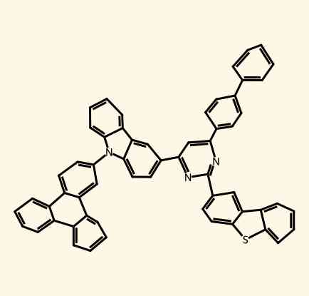 c1ccc(-c2ccc(-c3cc(-c4ccc5c(c4)c4ccccc4n5-c4ccc5c6ccccc6c6ccccc6c5c4)nc(-c4ccc5sc6ccccc6c5c4)n3)cc2)cc1